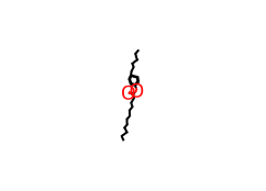 CCCCCCCCCCCC(=O)Oc1ccc(CCCCCC)cc1